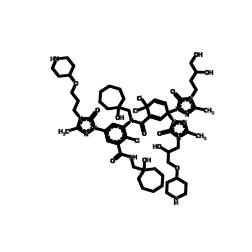 Cc1nn(-c2cc(C(=O)NCC3(O)CCCCCC3)c(Cl)c(N(CC3(O)CCCCCC3)C(=O)C3=CC(n4nc(C)n(CCC(O)CO)c4=O)(n4nc(C)n(CC(O)COC5CCNCC5)c4=O)C=CC3(Cl)Cl)c2)c(=O)n1CCCOC1CCNCC1